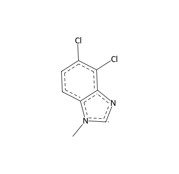 Cn1[c]nc2c(Cl)c(Cl)ccc21